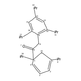 CC(C)C1=CC=CC(C(=O)Cc2c(C(C)C)cc(C(C)C)cc2C(C)C)(C(C)C)[CH]1